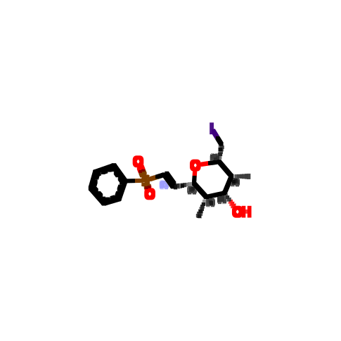 C[C@@H]1[C@H](O)[C@H](C)[C@H](/C=C/S(=O)(=O)c2ccccc2)O[C@@H]1CI